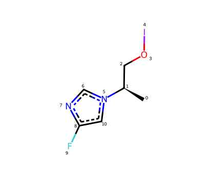 C[C@H](COI)n1cnc(F)c1